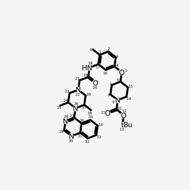 Cc1ccc(OC2CCN(C(=O)OC(C)(C)C)CC2)cc1NC(=O)CN1CC(C)N(c2ncnc3ccccc23)C(C)C1